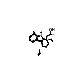 C=CC[C@H]1CC[C@@](CC)(CC(=O)O)c2[nH]c3c(C)cccc3c21